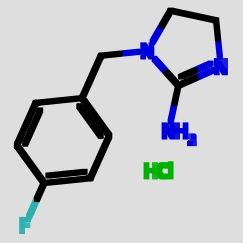 Cl.NC1=NCCN1Cc1ccc(F)cc1